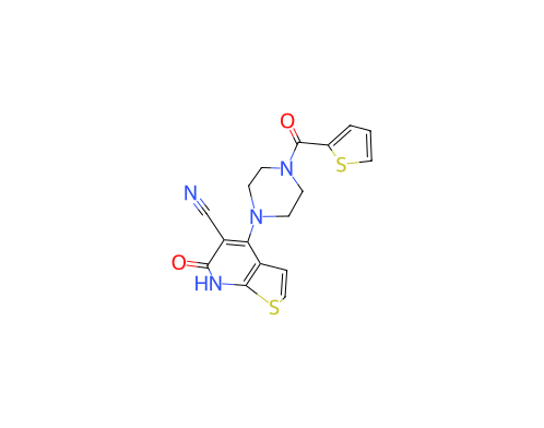 N#Cc1c(N2CCN(C(=O)c3cccs3)CC2)c2ccsc2[nH]c1=O